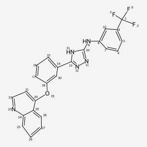 FC(F)(F)c1cccc(Nc2nnc(-c3cccc(Oc4ccnc5ccccc45)c3)[nH]2)c1